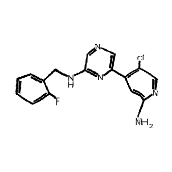 Nc1cc(-c2cncc(NCc3ccccc3F)n2)c(Cl)cn1